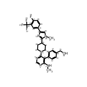 CNc1ncnc(N2CCC(c3nc(-c4ccc(F)c(C(F)(F)F)c4)cn3C)CC2)c1-c1ccc(CO)cc1